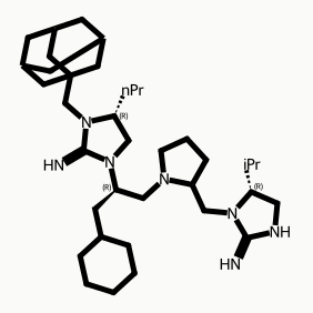 CCC[C@@H]1CN([C@H](CC2CCCCC2)CN2CCCC2CN2C(=N)NC[C@H]2C(C)C)C(=N)N1CC12CC3CC(CC(C3)C1)C2